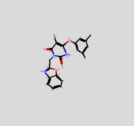 CCc1c(Oc2cc(C)cc(C)c2)[nH]c(=O)n(Cc2nc3ccccc3o2)c1=O